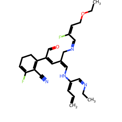 C=C/C=C(\C=N/CC)N/C=C(\C=C(/C=O)C1=C(C#N)C(F)=CCC1)C/N=C\C(F)=C/COCC